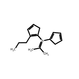 CCCC1=[C]([Zr]([C]2=CC=CC2)=[C](C)C)CC=C1